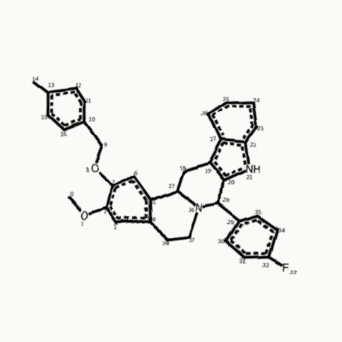 COc1cc2c(cc1OCc1ccc(C)cc1)C1Cc3c([nH]c4ccccc34)C(c3ccc(F)cc3)N1CC2